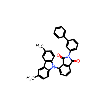 Cc1ccc2c(c1)c1cc(C)ccc1n2-c1cccc2c1C(=O)N(c1cccc(-c3ccccc3)c1)C2=O